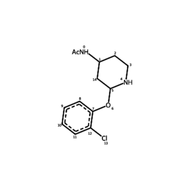 CC(=O)NC1CCNC(Oc2ccccc2Cl)C1